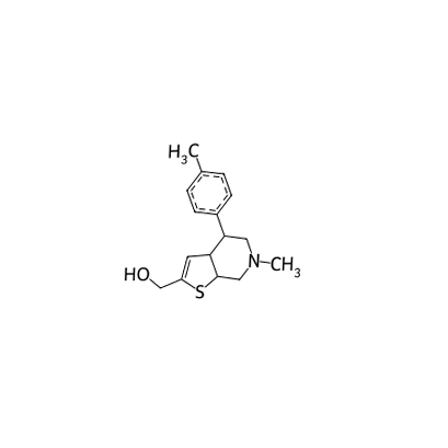 Cc1ccc(C2CN(C)CC3SC(CO)=CC32)cc1